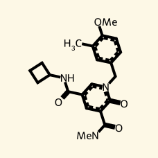 CNC(=O)c1cc(C(=O)NC2CCC2)cn(Cc2ccc(OC)c(C)c2)c1=O